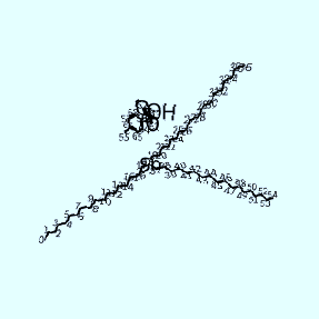 CCCCCCCCCCCCCCCCC[CH2][Sn]([CH2]CCCCCCCCCCCCCCCCC)[CH2]CCCCCCCCCCCCCCCCC.Cc1ccc(S(=O)(=O)O)cc1